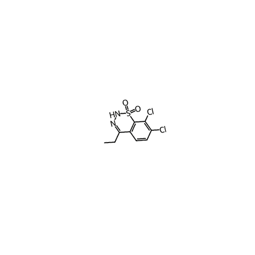 CCC1=NNS(=O)(=O)c2c1ccc(Cl)c2Cl